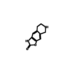 O=c1[nH]c2cc3c(cc2o1)CNCC3